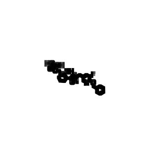 Nc1c(-c2cc(Cc3cnc(OCc4ccccc4)c(F)c3)no2)ccc[n+]1COP(=O)(O)O